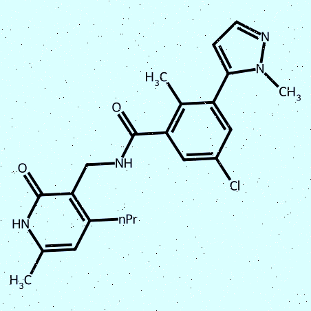 CCCc1cc(C)[nH]c(=O)c1CNC(=O)c1cc(Cl)cc(-c2ccnn2C)c1C